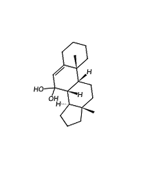 C[C@@]12CCC[C@H]1[C@H]1[C@@H](CC2)[C@@]2(C)CCCCC2=CC1(O)O